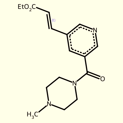 CCOC(=O)/C=C/c1cncc(C(=O)N2CCN(C)CC2)c1